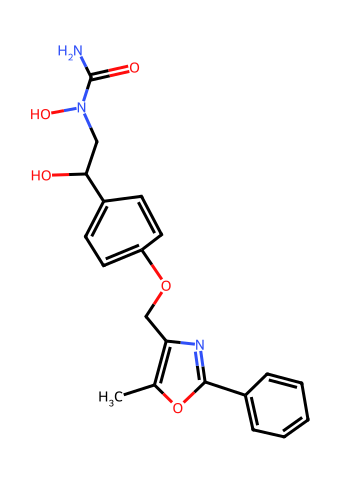 Cc1oc(-c2ccccc2)nc1COc1ccc(C(O)CN(O)C(N)=O)cc1